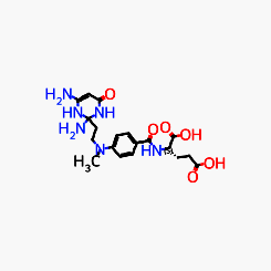 CN(CCC1(N)NC(=O)C=C(N)N1)c1ccc(C(=O)N[C@@H](CCC(=O)O)C(=O)O)cc1